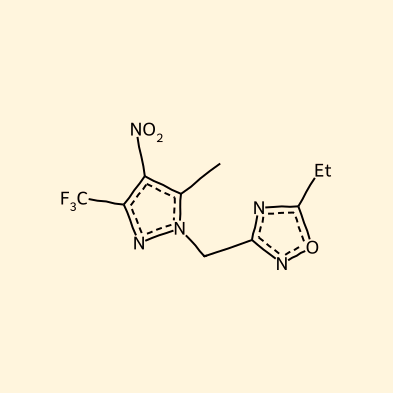 CCc1nc(Cn2nc(C(F)(F)F)c([N+](=O)[O-])c2C)no1